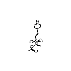 CC(=O)ON(C)S(=O)(=O)CCC1CCNCC1